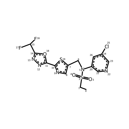 CCS(=O)(=O)N(Cc1cnc(-c2nnc(C(F)F)o2)s1)c1cncc(Cl)c1